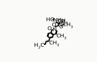 C=C/C=C(\C)c1ccc2c(=O)n(CC[C@](C)(C(=O)NO)S(C)(=O)=O)cc(C)c2c1